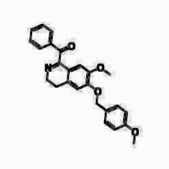 COc1ccc(COc2cc3c(cc2OC)C(C(=O)c2ccccc2)=NCC3)cc1